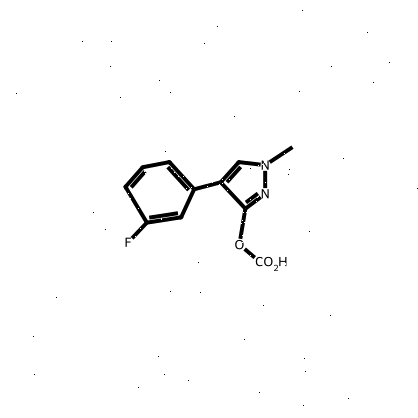 Cn1cc(-c2cccc(F)c2)c(OC(=O)O)n1